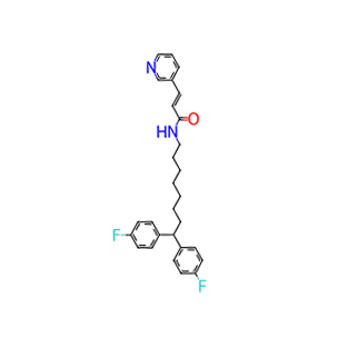 O=C(C=Cc1cccnc1)NCCCCCCCC(c1ccc(F)cc1)c1ccc(F)cc1